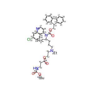 CCN(CCCC(C)N(C(=O)OCC1c2ccccc2-c2ccccc21)c1ccnc2cc(Cl)ccc12)CCOC(=O)CCNC(=O)OC(C)(C)C